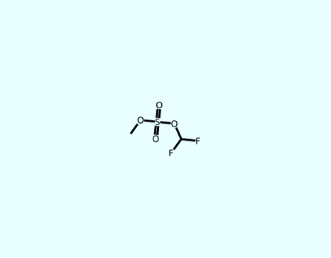 COS(=O)(=O)OC(F)F